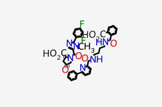 Cn1c(C(=O)N2C[C@@H](Oc3cccc(-c4cccc(C(=O)NCCCCNC(=O)c5ccccc5C(=O)O)n4)c3)C[C@H]2C(=O)O)cnc1-c1ccc(F)cc1F